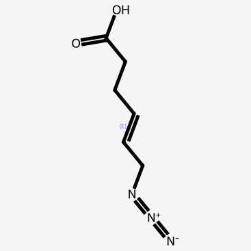 [N-]=[N+]=NC/C=C/CCC(=O)O